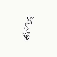 COc1cncc(Sc2ccc(C(=O)N[C@H]3CN4CCC3CC4)cc2)c1